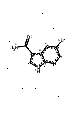 NC(=O)c1c[nH]c2ncc(Br)cc12